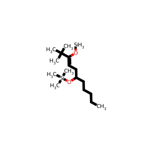 CCCCCC(CC=C(O[SiH3])C(C)(C)C)O[Si](C)(C)C